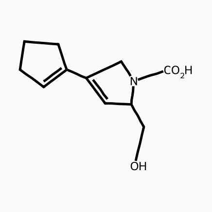 O=C(O)N1CC(C2=CCCC2)=CC1CO